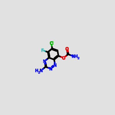 NC(=O)Oc1cc(Cl)c(F)c2nc(N)nnc12